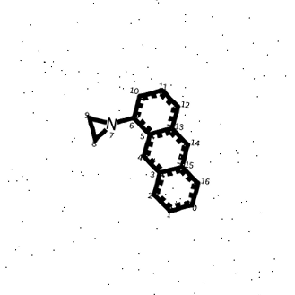 c1ccc2cc3c(N4CC4)cccc3cc2c1